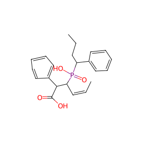 C/C=C\C(C(C(=O)O)c1ccccc1)P(=O)(O)C(CCC)c1ccccc1